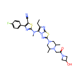 CCc1nc2sc(N3CC(C)N(CC(=O)N4CC(O)C4)C(C)C3)nn2c1N(C)c1nc(-c2ccc(F)cc2)c(C#N)s1